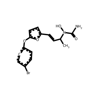 CC(C=Cc1ccc(Oc2ccc(Br)cc2)o1)N(O)C(N)=O